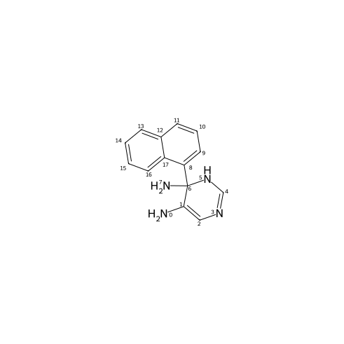 NC1=CN=CNC1(N)c1cccc2ccccc12